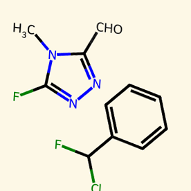 Cn1c(F)nnc1C=O.FC(Cl)c1ccccc1